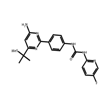 CSC(C)(C)c1cc(N)nc(-c2ccc(NC(=O)Nc3ccc(F)cn3)cc2)n1